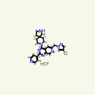 Cl.Clc1cnn(Cc2cc3c(N4CCC5(CCNC5)CC4)nc(-c4ccncc4)nc3cn2)c1